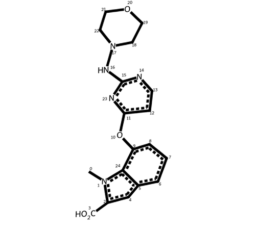 Cn1c(C(=O)O)cc2cccc(Oc3ccnc(NN4CCOCC4)n3)c21